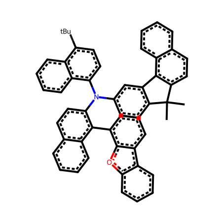 CC(C)(C)c1ccc(N(c2ccc3c(c2)-c2c(ccc4ccccc24)C3(C)C)c2ccc3ccccc3c2-c2cccc3c2oc2ccccc23)c2ccccc12